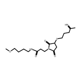 COCCCCNC(=O)CCN1C(=O)CC(SCCCC(C)=N)C1=O